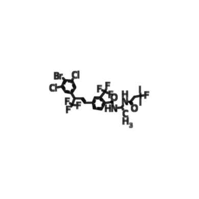 C[C@H](NC(=O)CC(F)(I)I)NC(=O)c1ccc(/C=C/C(c2cc(Cl)c(Br)c(Cl)c2)C(F)(F)F)cc1C(F)(F)F